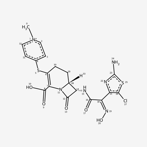 C[n+]1ccc(SC2=C(C(=O)O)N3C(=O)[C@@H](NC(=O)/C(=N\O)c4nc(N)sc4Cl)[C@H]3CC2)cc1